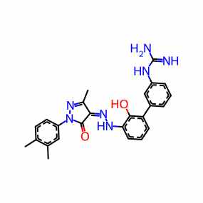 CC1=NN(c2ccc(C)c(C)c2)C(=O)C1=NNc1cccc(-c2cccc(NC(=N)N)c2)c1O